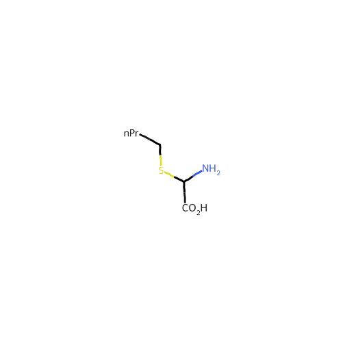 CCCCSC(N)C(=O)O